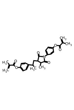 C=C(C)C(=O)Oc1ccc(C(C)CC2C(=O)N(c3ccc(OC(=O)C(=C)C)cc3)C(=O)C2C)cc1